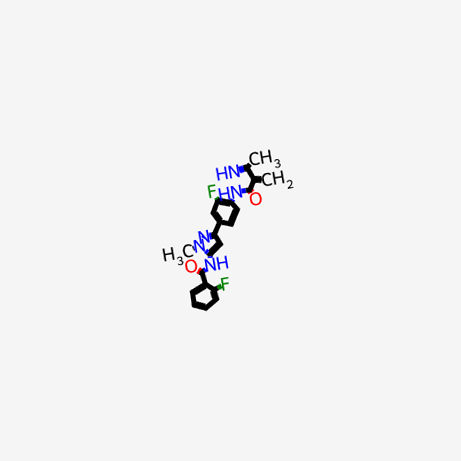 C=C(C(C)=N)C(=O)Nc1ccc(-c2cc(NC(=O)c3ccccc3F)n(C)n2)cc1F